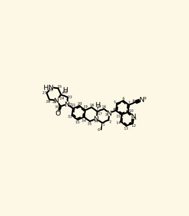 C[C@@H]1CN(c2ccc(C#N)c3ncccc23)C[C@@H]2Cc3cc(N4C[C@@H]5CNCCN5C4=O)ccc3CN21